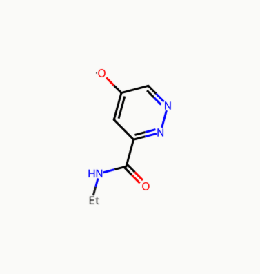 CCNC(=O)c1cc([O])cnn1